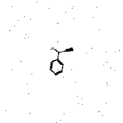 C#CC(S)c1ccccc1